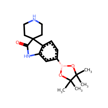 CC1(C)OB(c2ccc3c(c2)NC(=O)C32CCNCC2)OC1(C)C